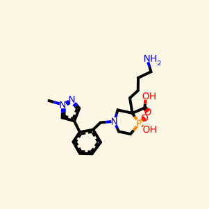 Cn1cc(-c2ccccc2CN2CCP(=O)(O)C(CCCCN)(C(=O)O)C2)cn1